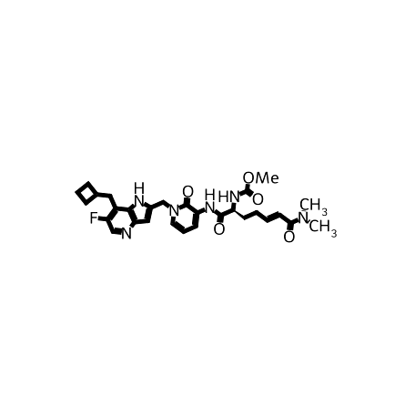 COC(=O)N[C@@H](CC/C=C/C(=O)N(C)C)C(=O)Nc1cccn(Cc2cc3ncc(F)c(CC4CCC4)c3[nH]2)c1=O